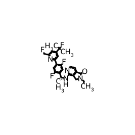 CCN1Cc2c(ccnc2N[C@@H](C)c2cc(F)c(-c3cc(C(C)(C)F)cc(CF)n3)cc2F)C1=O